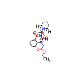 CCOC(=O)Cn1c(=O)n([C@H]2C[C@H]3CCC[C@@H](C2)N3C2C[C@H]3CCC[C@@H](C2)C3)c(=O)c2ccccc21